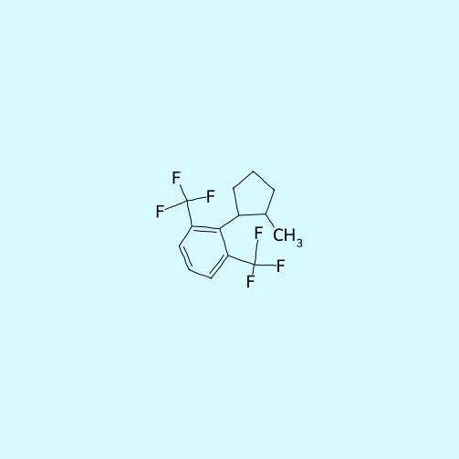 CC1CCCC1c1c(C(F)(F)F)cccc1C(F)(F)F